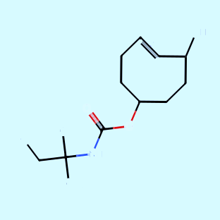 CCC(C)(C)NC(=O)OC1CC/C=C/C(C)CC1